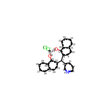 [Cl-].[Cl-].c1cncc(C2c3ccc4ccccc4c3[O][Ti+2][O]c3c2ccc2ccccc32)c1